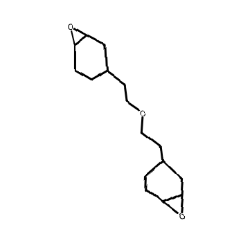 C(CC1CCC2OC2C1)OCCC1CCC2OC2C1